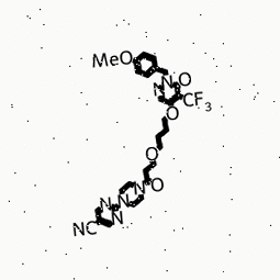 COc1ccc(Cn2ncc(OCCCCOCCC(=O)N3CCN(c4ncc(C#N)cn4)CC3)c(C(F)(F)F)c2=O)cc1